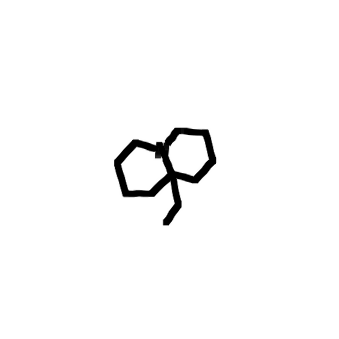 CCC12CCCCN1CCCC2